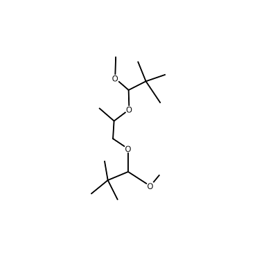 COC(OCC(C)OC(OC)C(C)(C)C)C(C)(C)C